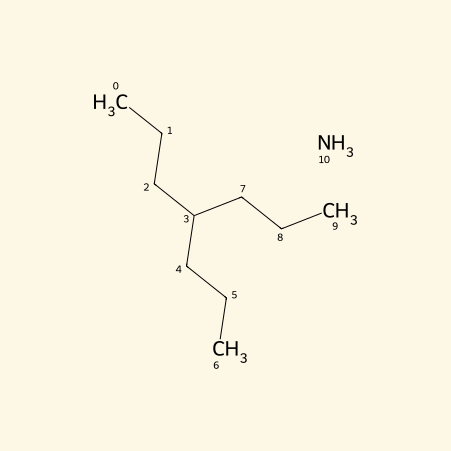 CCCC(CCC)CCC.N